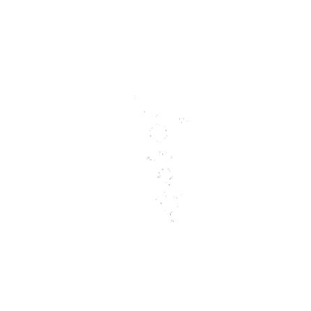 COc1cc(N2Cc3cc(-c4ccc(Cl)cc4)oc3C2=O)ccc1OCCC1CC1